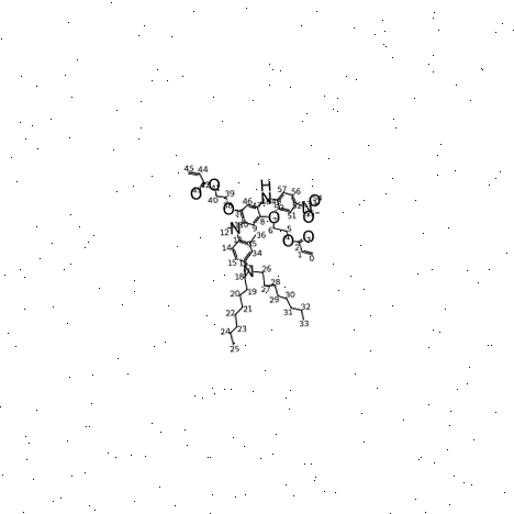 C=CC(=O)OCCOc1cc(N(C)c2ccc(N(CCCCCCCC)CCCCCCCC)cc2C)c(OCCOC(=O)C=C)cc1Nc1ccc([N+](=O)[O-])cc1